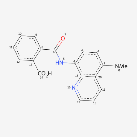 CNc1ccc(NC(=O)c2ccccc2C(=O)O)c2ncccc12